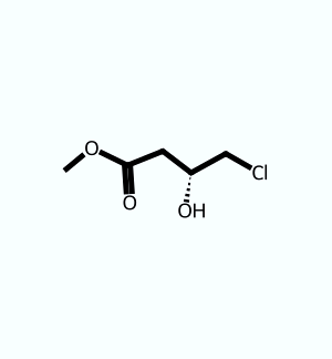 COC(=O)C[C@@H](O)CCl